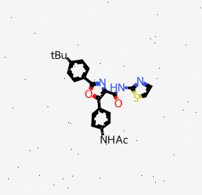 CC(=O)Nc1ccc(-c2oc(-c3ccc(C(C)(C)C)cc3)nc2C(=O)Nc2nccs2)cc1